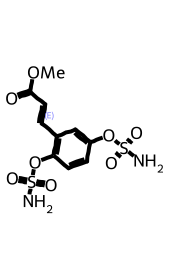 COC(=O)/C=C/c1cc(OS(N)(=O)=O)ccc1OS(N)(=O)=O